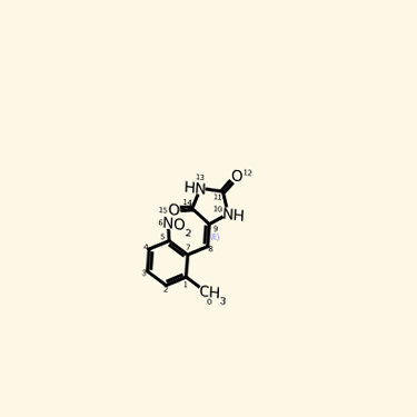 Cc1cccc([N+](=O)[O-])c1/C=C1/NC(=O)NC1=O